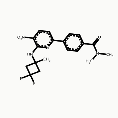 CN(C)C(=O)c1ccc(-c2ccc([N+](=O)[O-])c(NC3(C)CC(F)(F)C3)n2)cc1